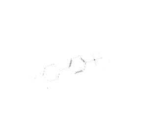 CC(C)(C)c1ccc(N2CC[C@@H](N)[C@@H](F)C2)cn1